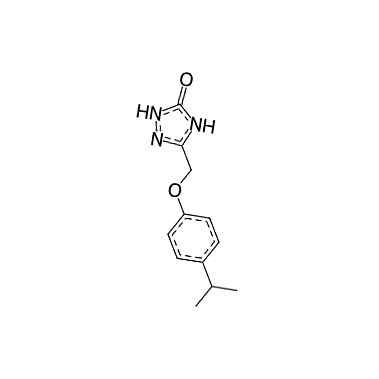 CC(C)c1ccc(OCc2n[nH]c(=O)[nH]2)cc1